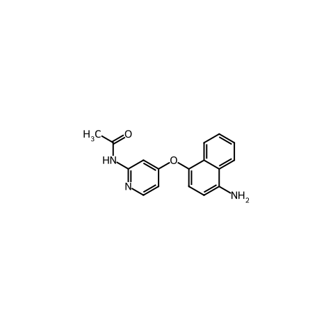 CC(=O)Nc1cc(Oc2ccc(N)c3ccccc23)ccn1